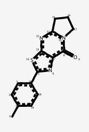 Cc1ccc(-c2nc3c(=O)n4c(nc3s2)CCC4)cc1